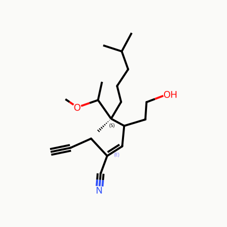 C#CC/C(C#N)=C\C(CCO)[C@](C)(CCCC(C)C)C(C)OC